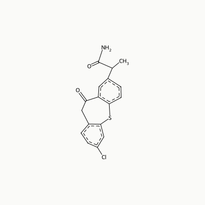 CC(C(N)=O)c1ccc2c(c1)C(=O)Cc1ccc(Cl)cc1S2